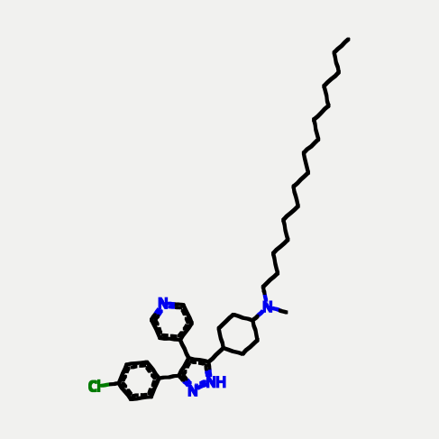 CCCCCCCCCCCCCCCCN(C)C1CCC(c2[nH]nc(-c3ccc(Cl)cc3)c2-c2ccncc2)CC1